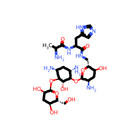 CC(N)C(=O)NC(Cc1cnc[nH]1)C(=O)NC[C@H]1O[C@H](O[C@H]2[C@H](O)[C@@H](O[C@H]3O[C@H](CO)[C@@H](O)C[C@H]3O)[C@H](N)C[C@@H]2N)[C@H](N)C[C@@H]1O